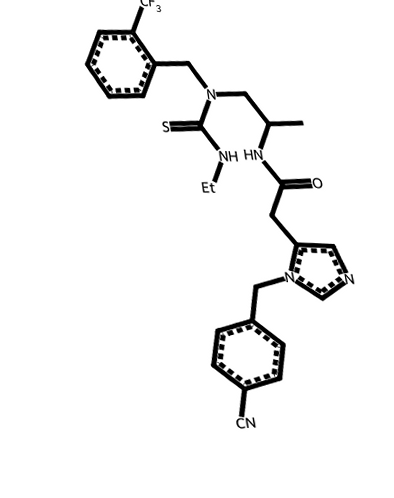 CCNC(=S)N(Cc1ccccc1C(F)(F)F)CC(C)NC(=O)Cc1cncn1Cc1ccc(C#N)cc1